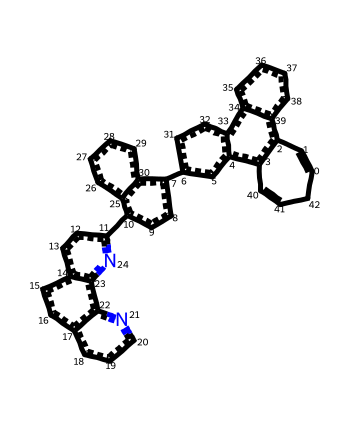 C1=Cc2c(c3cc(-c4ccc(-c5ccc6ccc7cccnc7c6n5)c5ccccc45)ccc3c3ccccc23)C=CC1